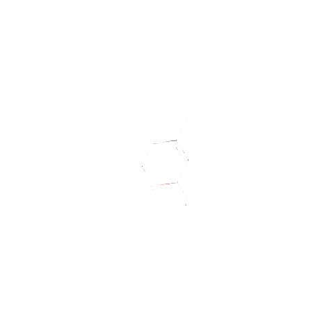 CC1=CC(C)OCC1